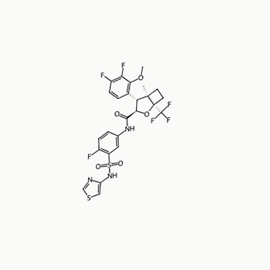 COc1c([C@H]2[C@H](C(=O)Nc3ccc(F)c(S(=O)(=O)Nc4cscn4)c3)O[C@]3(C(F)(F)F)CC[C@]23C)ccc(F)c1F